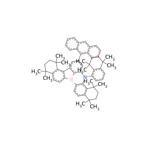 CC1(C)CCC(C)(C)c2c(N3c4cc(-c5c6ccccc6cc6ccccc56)cc5c4B(c4ccc6c(c4-5)C(C)(C)CCC6(C)C)c4ccc5c(c43)C(C)(C)CCC5(C)C)cccc21